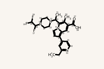 CCc1cc(-c2ccn3c(C(C)N4CCN(C(F)C(F)F)CC4)c(C)c(C(=O)O)cc23)ccn1